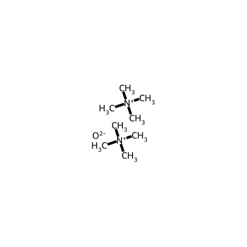 C[N+](C)(C)C.C[N+](C)(C)C.[O-2]